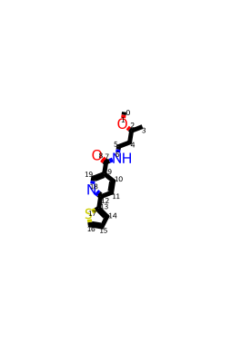 COC(C)CCNC(=O)c1ccc(-c2cccs2)nc1